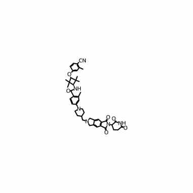 Cc1cc(O[C@H]2C(C)(C)[C@H](NC(=O)c3ccc(N4CCC(CN5Cc6cc7c(cc6C5)C(=O)N(C5CCC(=O)NC5=O)C7=O)CC4)cc3C)C2(C)C)ccc1C#N